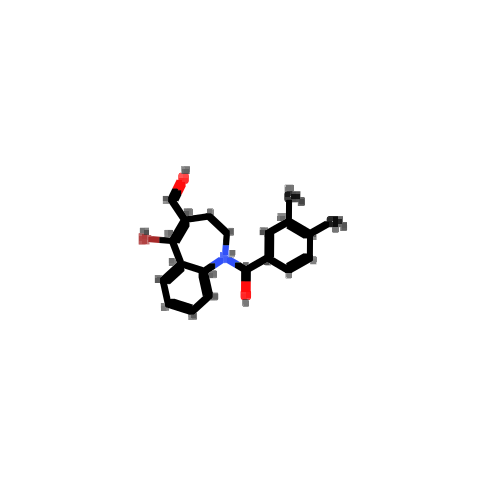 Cc1ccc(C(=O)N2CCC(C=O)=C(Br)c3ccccc32)cc1C